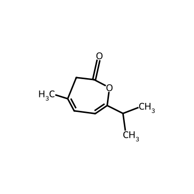 CC1=CC=C(C(C)C)OC(=O)C1